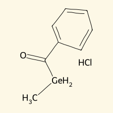 Cl.[CH3][GeH2][C](=O)c1ccccc1